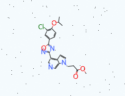 COC(=O)CCn1ccc2c(-c3noc(-c4ccc(OC(C)C)c(Cl)c4)n3)cncc21